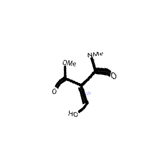 CNC(=O)/C(=C/O)C(=O)OC